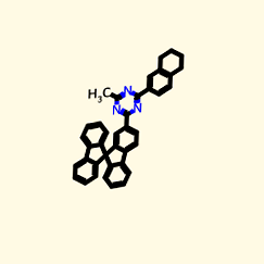 Cc1nc(-c2ccc3c(c2)CCCC3)nc(-c2ccc3c(c2)C2(c4ccccc4-c4ccccc42)c2ccccc2-3)n1